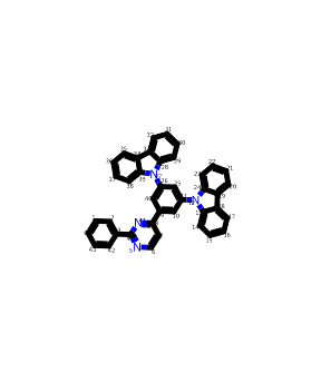 c1ccc(-c2nccc(-c3cc(-n4c5ccccc5c5ccccc54)cc(-n4c5ccccc5c5ccccc54)c3)n2)cc1